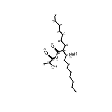 CCCCCCCCCC(CCCCCCC)C(=O)OC(=O)C(C)O.[NaH]